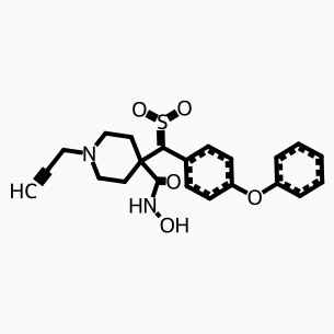 C#CCN1CCC(C(=O)NO)(C(c2ccc(Oc3ccccc3)cc2)=S(=O)=O)CC1